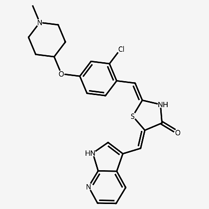 CN1CCC(Oc2ccc(/C=c3/[nH]c(=O)/c(=C/c4c[nH]c5ncccc45)s3)c(Cl)c2)CC1